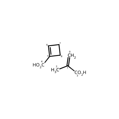 C=C(C)C(=O)O.O=C(O)C1=CCC1